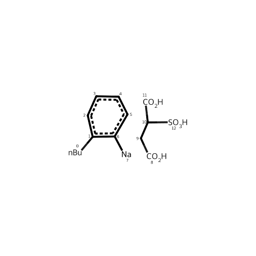 CCCCc1cccc[c]1[Na].O=C(O)CC(C(=O)O)S(=O)(=O)O